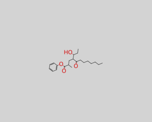 CCCCCCCC(=O)C(CC(C)C(=O)Oc1ccccc1)C(O)CC